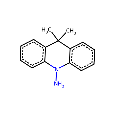 CC1(C)c2ccccc2N(N)c2ccccc21